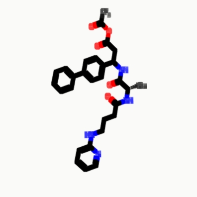 CC(C)(C)[C@H](NC(=O)CCCNc1ccccn1)C(=O)NC(CC(=O)OC(=O)C(F)(F)F)c1ccc(-c2ccccc2)cc1